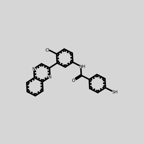 O=C(Nc1ccc(Cl)c(-c2cnc3ccccc3n2)c1)c1ccc(S)cc1